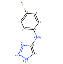 Fc1ccc(Nc2c[nH]nn2)cc1